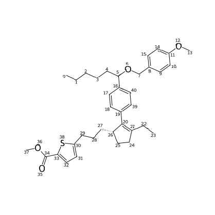 CCCCCC(OCc1ccc(OC)cc1)c1ccc(C2=C(CC)CC[C@@H]2CCCc2ccc(C(=O)OC)s2)cc1